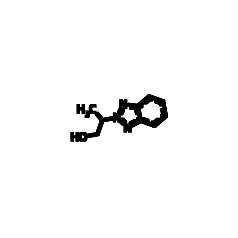 CC(CO)n1nc2ccccc2n1